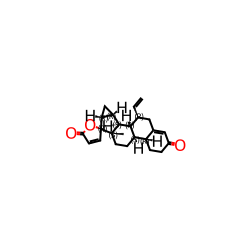 C=C[C@H]1CC2=CC(=O)CC[C@@H]2[C@H]2CC[C@@]3(C)[C@@H]([C@H]4C[C@H]4[C@@]34C=CC(=O)O4)[C@@H]21